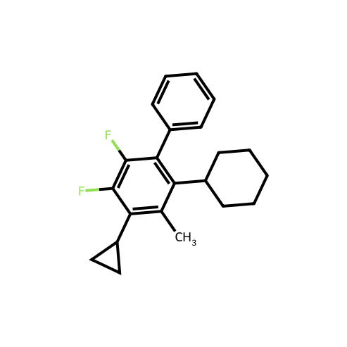 Cc1c(C2CC2)c(F)c(F)c(-c2ccccc2)c1C1CCCCC1